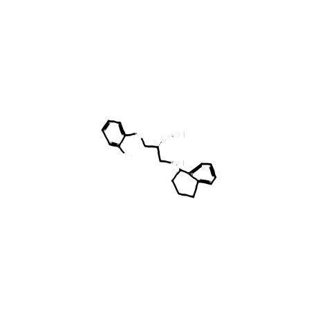 CCc1ccccc1OC[C@@H](O)CN[C@H]1CCCc2ccccc21.Cl